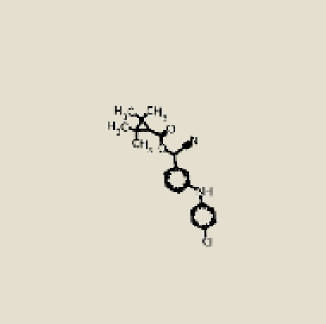 CC1(C)C(C(=O)OC(C#N)c2cccc(Nc3ccc(Cl)cc3)c2)C1(C)C